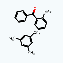 COc1ccccc1C(=O)c1ccccc1.Cc1cc(C)cc(C)c1